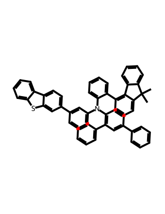 CC1(C)c2ccccc2-c2c(-c3ccccc3N(c3cccc(-c4ccc5c(c4)sc4ccccc45)c3)c3ccc(-c4ccccc4)cc3-c3ccccc3)cccc21